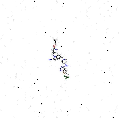 N#Cc1cc2cc(CN3CCC(Nc4ncnc5sc(CC(F)(F)F)cc45)CC3)ccc2n1CC1=CC(OCC2CC2)=NC1